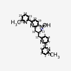 Cc1cccc(-c2cccc(CC(/C=N/O)Cc3cccc(-c4cccc(C)n4)n3)n2)n1